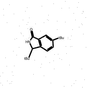 CC(C)(C)c1ccc2c(c1)C(=O)NC2C(C)(C)C